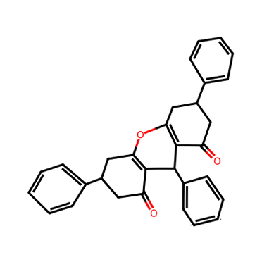 O=C1CC(c2ccccc2)CC2=C1C(c1c[c][c]cc1)C1=C(CC(c3ccccc3)CC1=O)O2